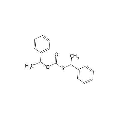 CC(OC(=O)SC(C)c1ccccc1)c1ccccc1